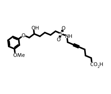 COc1cccc(OCC(O)CCCCS(=O)(=O)NCC#CCCCC(=O)O)c1